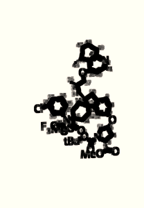 COC(=O)[C@H]1C[C@@H](Oc2ccc3c(c2)C2(CCC(C(=O)OC)(N(C(=O)C(F)(F)F)c4cccc(Cl)c4)CC2)[C@@H](C[C@@H](C)COc2ccnc4c2[C@H](C)CCC4)C3)CN1C(=O)OC(C)(C)C